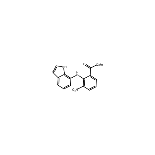 COC(=O)c1cccc([N+](=O)[O-])c1Nc1cccc2nc[nH]c12